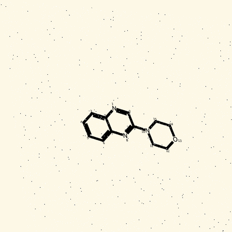 [c]1nc2ccccc2nc1N1CCOCC1